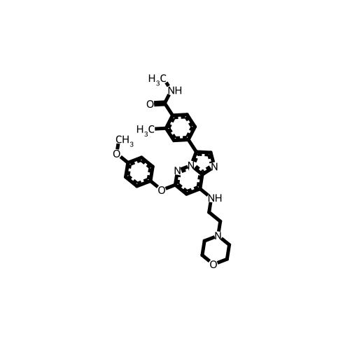 CNC(=O)c1ccc(-c2cnc3c(NCCN4CCOCC4)cc(Oc4ccc(OC)cc4)nn23)cc1C